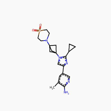 Cc1cc(-c2cn(C34CC(N5CCS(=O)(=O)CC5)(C3)C4)c(C3CC3)n2)cnc1N